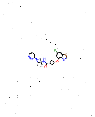 CC1(NC(=O)[C@H]2C[C@H](Oc3cc(F)cc4scnc34)C2)CN(c2cccnn2)C1